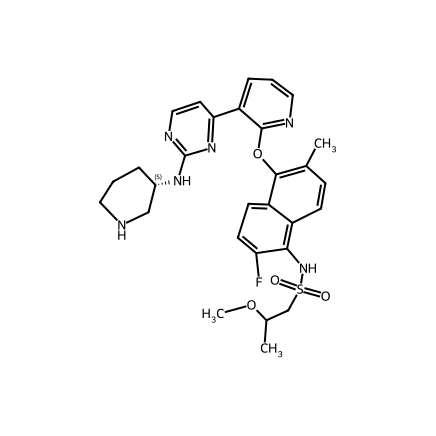 COC(C)CS(=O)(=O)Nc1c(F)ccc2c(Oc3ncccc3-c3ccnc(N[C@H]4CCCNC4)n3)c(C)ccc12